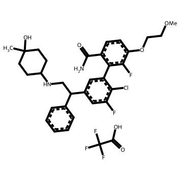 COCCOc1ccc(C(N)=O)c(-c2cc(C(CNC3CCC(C)(O)CC3)c3ccccc3)cc(F)c2Cl)c1F.O=C(O)C(F)(F)F